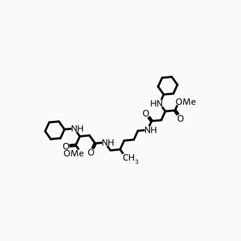 COC(=O)C(CC(=O)NCCCC(C)CNC(=O)CC(NC1CCCCC1)C(=O)OC)NC1CCCCC1